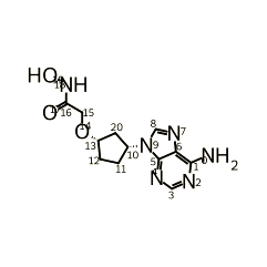 Nc1ncnc2c1ncn2[C@@H]1CC[C@H](OCC(=O)NO)C1